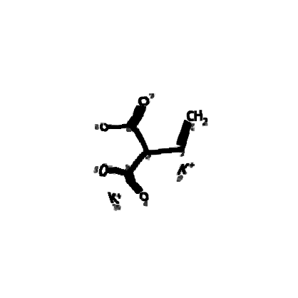 C=CC(C(=O)[O-])C(=O)[O-].[K+].[K+]